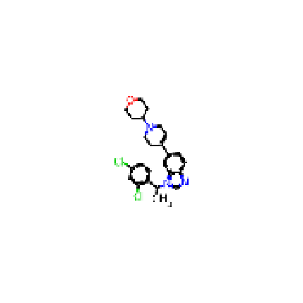 CC(c1ccc(Cl)cc1Cl)n1cnc2ccc(C3=CCN(C4CCOCC4)CC3)cc21